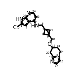 Clc1cc2c(NCC34CC(COC5CCn6ccnc6C5)(C3)C4)ccnc2[nH]1